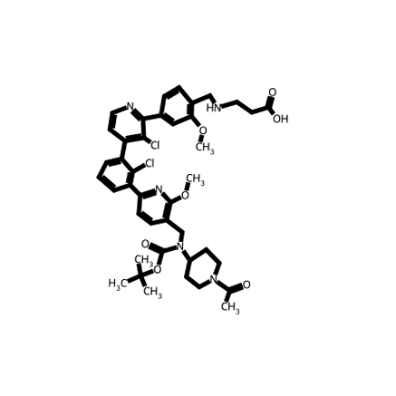 COc1cc(-c2nccc(-c3cccc(-c4ccc(CN(C(=O)OC(C)(C)C)C5CCN(C(C)=O)CC5)c(OC)n4)c3Cl)c2Cl)ccc1CNCCC(=O)O